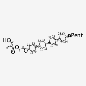 C=C(CO)C(=O)OCCOc1ccc(C2CCC(C3C=CC(C4CCC(CCCCC)CC4)=CC3)CC2)cc1